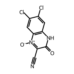 N#Cc1c(=O)[nH]c2cc(Cl)c(Cl)cc2[n+]1[O-]